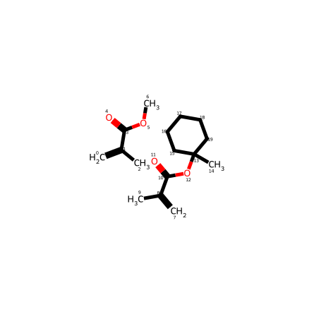 C=C(C)C(=O)OC.C=C(C)C(=O)OC1(C)CCCCC1